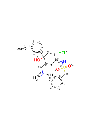 COc1cccc(C2(O)CCC(NS(=O)(=O)Cc3ccccc3)CC2CN(C)C)c1.Cl